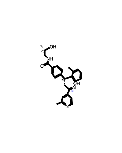 Cc1cc(/C(C[C@H](c2ccc(C(=O)NC[C@H](C)O)cc2)c2ccccc2C)=N/O)ccn1